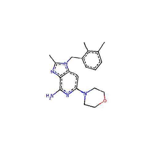 Cc1cccc(Cn2c(C)nc3c(N)nc(N4CCOCC4)cc32)c1C